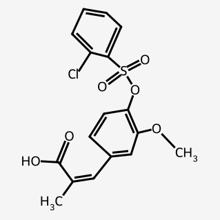 COc1cc(C=C(C)C(=O)O)ccc1OS(=O)(=O)c1ccccc1Cl